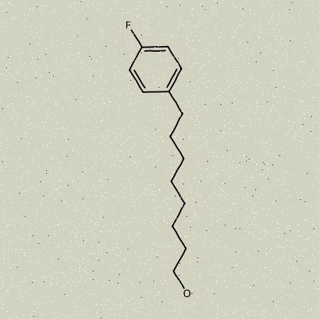 [O]CCCCCCCCc1ccc(F)cc1